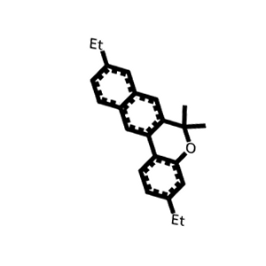 CCc1ccc2c(c1)OC(C)(C)c1cc3cc(CC)ccc3cc1-2